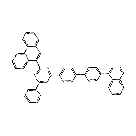 c1ccc(-c2cc(-c3ccc(-c4ccc(-c5cncc6ccccc56)cc4)cc3)nc(-c3cc4ccccc4c4ccccc34)n2)cc1